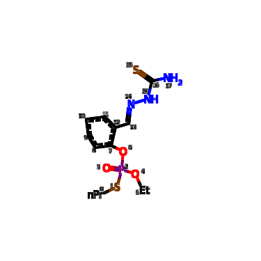 CCCSP(=O)(OCC)Oc1ccccc1C=NNC(N)=S